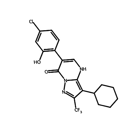 O=c1c(-c2ccc(Cl)cc2O)c[nH]c2c(C3CCCCC3)c(C(F)(F)F)nn12